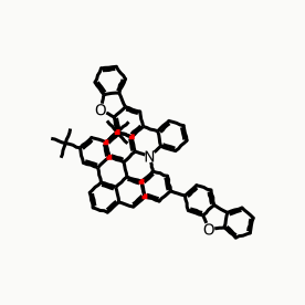 CC(C)(C)c1cc(-c2cccc3cccc(-c4ccccc4N(c4cccc(-c5ccc6c(c5)oc5ccccc56)c4)c4ccccc4-c4ccc5oc6ccccc6c5c4)c23)cc(C(C)(C)C)c1